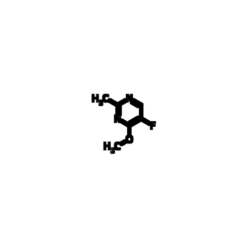 COc1nc(C)ncc1F